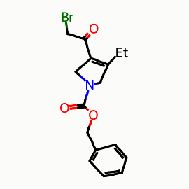 CCC1=C(C(=O)CBr)CN(C(=O)OCc2ccccc2)C1